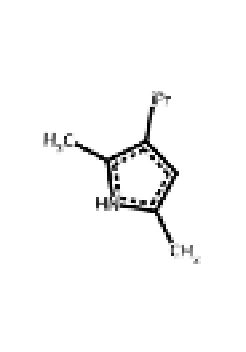 Cc1cc(C(C)C)c(C)[nH]1